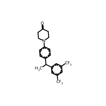 [CH2]C(c1ccc(N2CCC(=O)CC2)cc1)c1cc(C(F)(F)F)cc(C(F)(F)F)c1